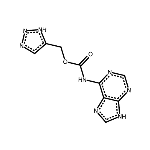 O=C(Nc1ncnc2[nH]cnc12)OCc1cnn[nH]1